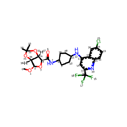 CO[C@@H]1O[C@H](C(=O)NC2CCC(Nc3cc(C(F)(F)F)nc4ccc(Cl)cc34)CC2)[C@H]2OC(C)(C)O[C@@H]12